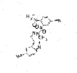 CN(C)c1ccc(C#N)cc1S(=O)(=O)N(C)/N=C\c1cnn2ccc(C#N)cc12